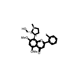 COc1cc(OC)c2c(=O)cc(-c3ccccc3I)oc2c1[C@@H]1CCN(C)[C@H]1CO